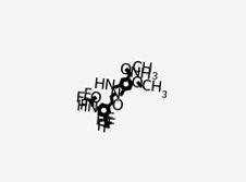 CCOc1cc2c(cc1C(=O)NC)C(=N)N(CC(=O)c1cc(NC(=O)C(F)(F)F)cc(S(F)(F)(F)(F)F)c1)C2